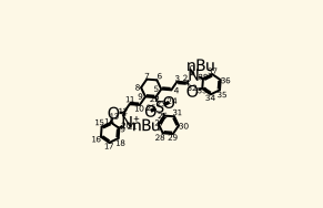 CCCCN1/C(=C/C=C2\CCCC(/C=C/c3oc4ccccc4[n+]3CCCC)=C2S(=O)(=O)c2ccccc2)Oc2ccccc21